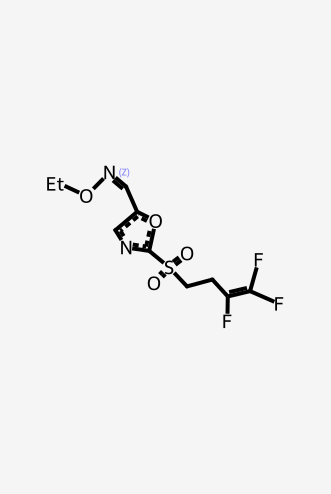 CCO/N=C\c1cnc(S(=O)(=O)CCC(F)=C(F)F)o1